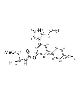 CCOCc1nnnn1-c1cc(OC(=O)NC(C)COC)cc(-c2ccc(C)cc2)c1